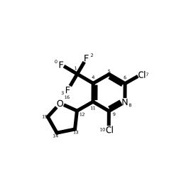 FC(F)(F)c1cc(Cl)nc(Cl)c1C1CCCO1